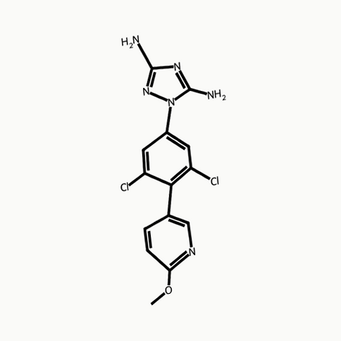 COc1ccc(-c2c(Cl)cc(-n3nc(N)nc3N)cc2Cl)cn1